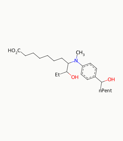 CCCCCC(O)c1ccc(N(C)C(CCCCCCC(=O)O)C(O)CC)cc1